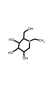 CCN1CC(O)C(O)C(O)C1CO